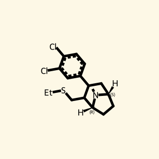 CCSCC1C(c2ccc(Cl)c(Cl)c2)C[C@@H]2CC[C@H]1N2C